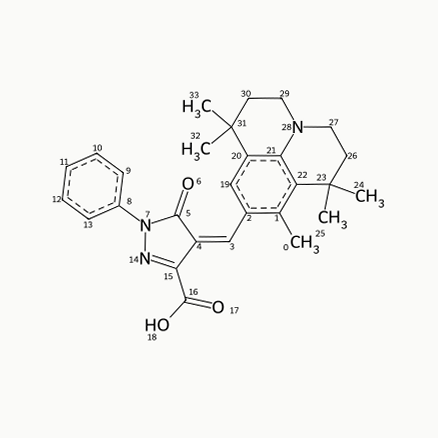 Cc1c(/C=C2\C(=O)N(c3ccccc3)N=C2C(=O)O)cc2c3c1C(C)(C)CCN3CCC2(C)C